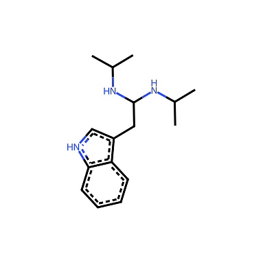 CC(C)NC(Cc1c[nH]c2ccccc12)NC(C)C